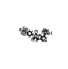 O=C1N(c2ccc(S(=O)(=O)C(F)(F)F)cc2)C(=O)C2(CC2)N1Cc1ccncc1-c1nnn[nH]1